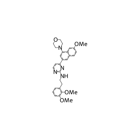 COc1ccc2cc(-c3ccnc(NCCc4cccc(OC)c4OC)n3)cc(N3CCOCC3)c2c1